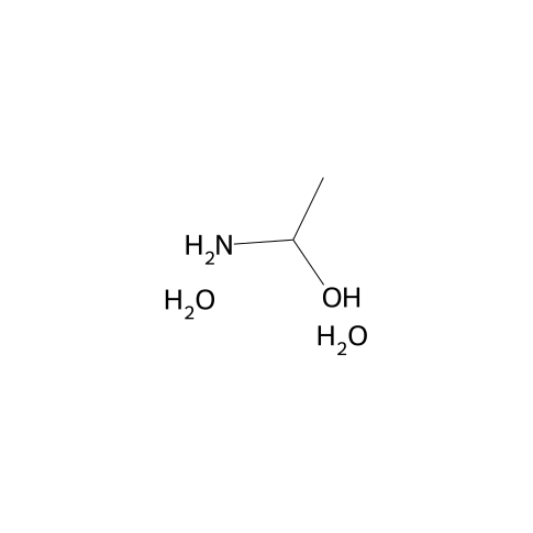 CC(N)O.O.O